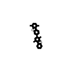 Cc1ccc(C)c2c1oc1cc(-c3cc(C)c4c(sc5ccccc54)c3C)ccc12